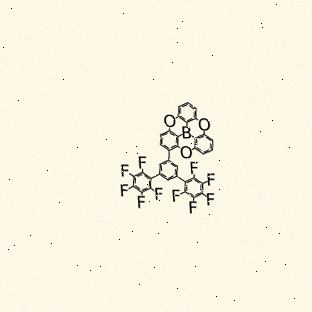 Fc1c(F)c(F)c(-c2cc(-c3ccc4c5c3Oc3cccc6c3B5c3c(cccc3O4)O6)cc(-c3c(F)c(F)c(F)c(F)c3F)c2)c(F)c1F